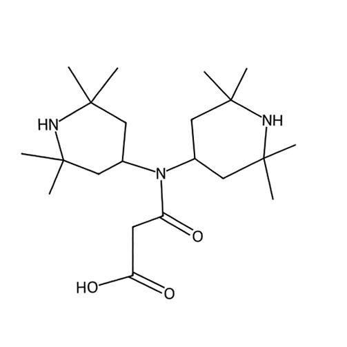 CC1(C)CC(N(C(=O)CC(=O)O)C2CC(C)(C)NC(C)(C)C2)CC(C)(C)N1